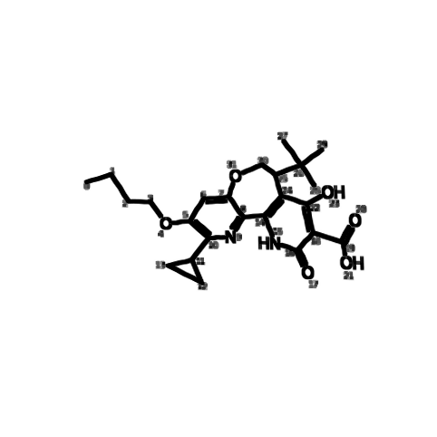 CCCCOc1cc2c(nc1C1CC1)-c1[nH]c(=O)c(C(=O)O)c(O)c1C(C(C)(C)C)CO2